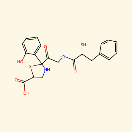 O=C(NCC(=O)C1(c2ccccc2O)NCC(C(=O)O)S1)C(S)Cc1ccccc1